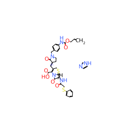 C=CCOC(=O)Nc1ccc(CN2CC/C(=C\C3=C(C(=O)O)N4C(=O)[C@@H](NC(=O)CSc5ccccc5)[C@H]4SC3)C2=O)cc1.c1c[nH]cn1